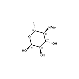 CN[C@H]1[C@H](O)[C@@H](O)[C@@H](O)O[C@@H]1C